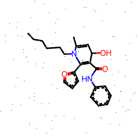 CCCCCCN1C(C)=CC(O)C(C(=O)Nc2ccccc2)=C1c1ccco1